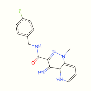 CN1N=C(C(=O)NCc2ccc(F)cc2)C(=N)C2NC=CC=C21